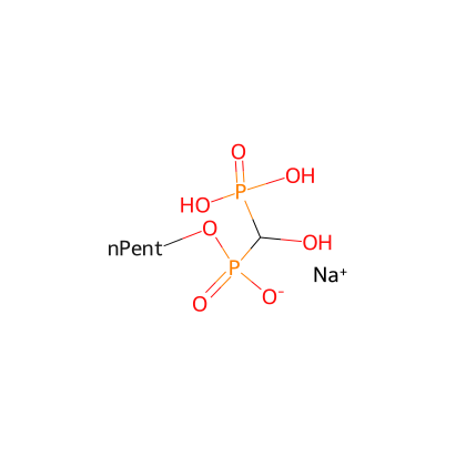 CCCCCOP(=O)([O-])C(O)P(=O)(O)O.[Na+]